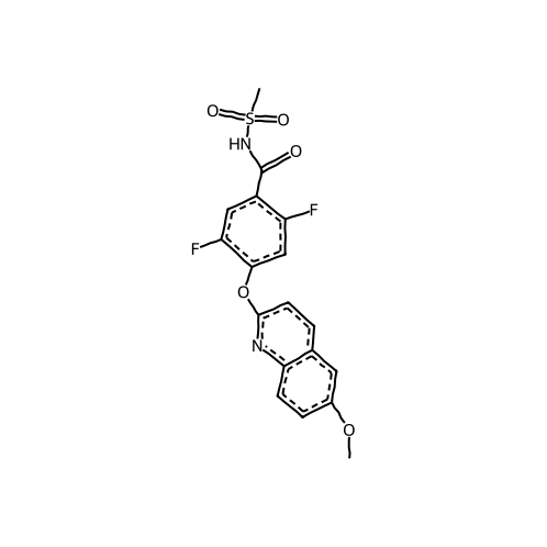 COc1ccc2nc(Oc3cc(F)c(C(=O)NS(C)(=O)=O)cc3F)ccc2c1